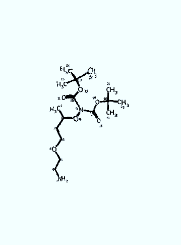 CC(CCOCCN)ON(C(=O)OC(C)(C)C)C(=O)OC(C)(C)C